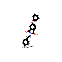 COc1ccc(CCN2C(=O)c3ccc(Oc4cc[c]cc4)cc3C2=O)cc1OC